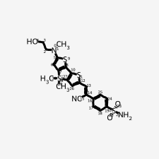 CN(CCO)c1cc2c(s1)-c1sc(/C=C(\C#N)c3ccc(S(N)(=O)=O)cc3)cc1[Si]2(C)C